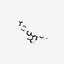 C=C(C)C(=O)N1CCN(c2ccc(-c3cc(OCCN(C)C)cn4ncc(C#N)c34)cn2)CC1